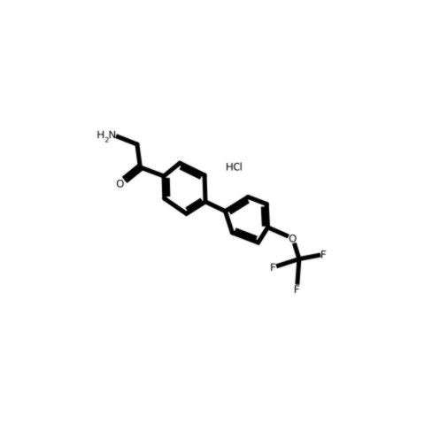 Cl.NCC(=O)c1ccc(-c2ccc(OC(F)(F)F)cc2)cc1